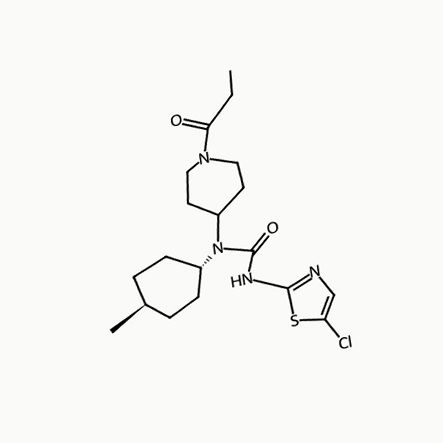 CCC(=O)N1CCC(N(C(=O)Nc2ncc(Cl)s2)[C@H]2CC[C@H](C)CC2)CC1